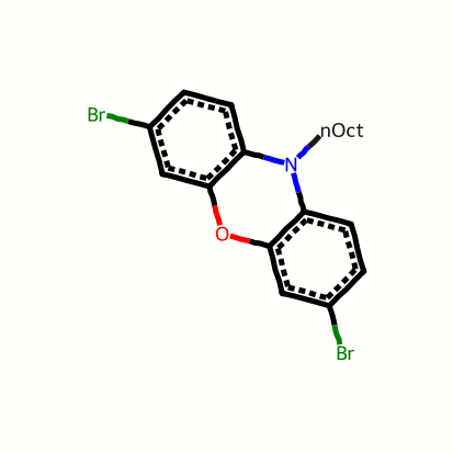 CCCCCCCCN1c2ccc(Br)cc2Oc2cc(Br)ccc21